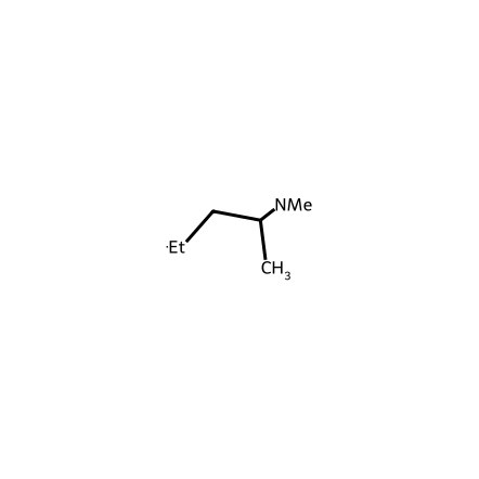 C[CH]CC(C)NC